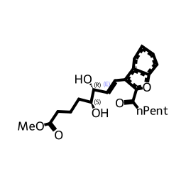 CCCCCC(=O)c1oc2ccccc2c1/C=C/[C@@H](O)[C@@H](O)CCCC(=O)OC